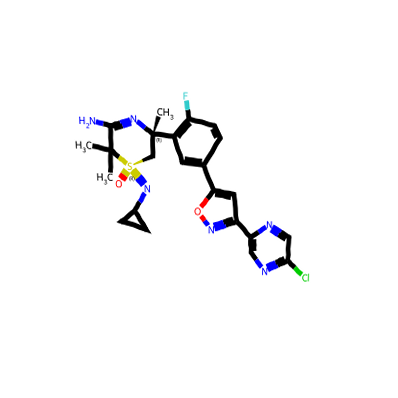 CC1(C)C(N)=N[C@](C)(c2cc(-c3cc(-c4cnc(Cl)cn4)no3)ccc2F)C[S@]1(=O)=NC1CC1